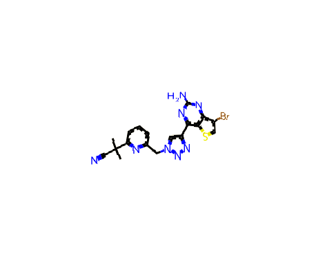 CC(C)(C#N)c1cccc(Cn2cc(-c3nc(N)nc4c(Br)csc34)nn2)n1